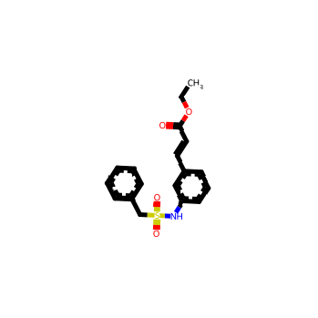 CCOC(=O)/C=C/c1cccc(NS(=O)(=O)Cc2ccccc2)c1